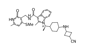 CSc1cc(C)[nH]c(=O)c1CNC(=O)c1c(C)n([C@H](C)C2CCC(NC3CC(C#N)C3)CC2)c2ccccc12